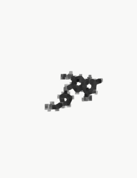 COc1cc2nc(C)nc(O)c2cc1O[C@H]1CCN(CC(F)(F)F)C1